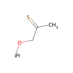 CC(=S)COC(C)C